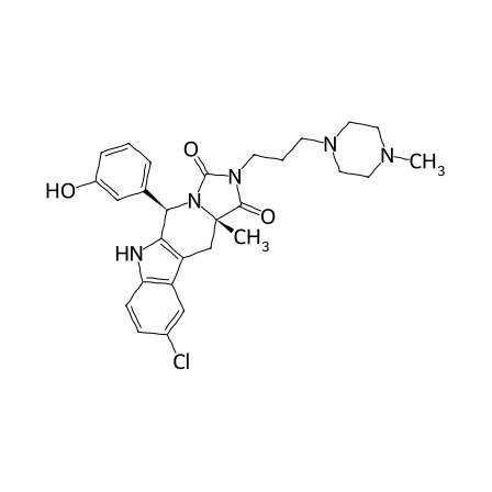 CN1CCN(CCCN2C(=O)N3[C@H](c4cccc(O)c4)c4[nH]c5ccc(Cl)cc5c4C[C@@]3(C)C2=O)CC1